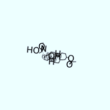 CON=C(CO)[C@H]1CC[C@@]2(O)[C@@H]3CCC4CC(OC(C)=O)CC[C@]4(C)[C@H]3CC[C@]12C